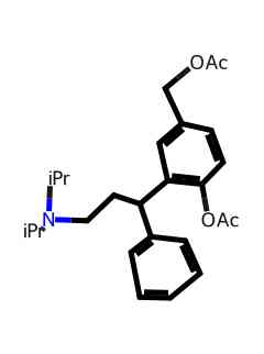 CC(=O)OCc1ccc(OC(C)=O)c(C(CCN(C(C)C)C(C)C)c2ccccc2)c1